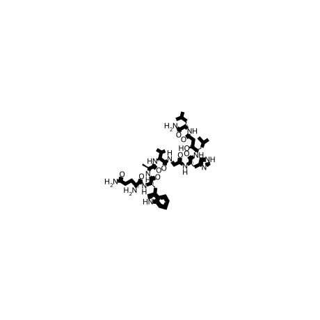 CC(C)C[C@H](NC(=O)C[C@H](O)[C@H](CC(C)C)NC(=O)[C@H](Cc1c[nH]cn1)NC(=O)CNC(=O)[C@@H](NC(=O)[C@H](C)NC(=O)[C@H](Cc1c[nH]c2ccccc12)NC(=O)[C@@H](N)CCC(N)=O)C(C)C)C(N)=O